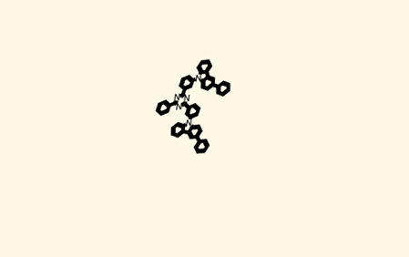 c1ccc(-c2ccc3c(c2)c2ccccc2n3-c2cccc(-c3nc(-c4ccccc4)nc(-c4cccc(-n5c6ccccc6c6cc(-c7ccccc7)ccc65)c4)n3)c2)cc1